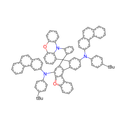 CC(C)(C)c1ccc(N(c2ccc3c(c2)C2(c4ccccc4N4c5ccccc5Oc5cccc2c54)c2cc(N(c4ccc(C(C)(C)C)cc4)c4ccc5ccc6ccccc6c5c4)c4oc5ccccc5c4c2-3)c2ccc3ccc4ccccc4c3c2)cc1